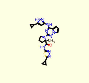 C[C@@]1(C(=O)Nc2nnc(C3CC3)s2)CCCN1c1nc(Nc2cc(C3CC3)[nH]n2)c2cccn2n1